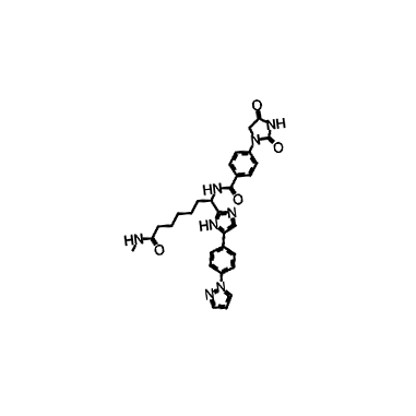 CNC(=O)CCCCCC(NC(=O)c1ccc(N2CC(=O)NC2=O)cc1)c1ncc(-c2ccc(-n3cccn3)cc2)[nH]1